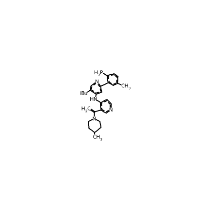 C=C(c1cnccc1Nc1cc(-c2cc(C)ccc2P)ncc1C(C)CC)N1CCC(C)CC1